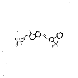 CC1=C(CN2CC(C)(C(=O)O)C2)CCc2cc(OCc3cc(-c4ccccc4)c(C(F)(F)F)s3)ccc21